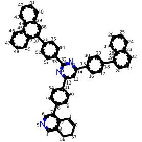 C1=Cc2c(cncc2-c2ccc(-c3cc(-c4ccc(-c5cccc6ccccc56)cc4)nc(-c4ccc(-c5cc6ccccc6c6ccccc56)cc4)n3)cc2)CC1